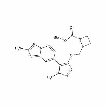 Cn1ncc(OCC2CCN2C(=O)OC(C)(C)C)c1-c1ccn2nc(N)cc2c1